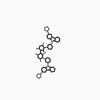 Cc1cc(C)c2c(oc3c(-c4cccc(-n5c6ccccc6c6cc(C7CCCC7)ccc65)c4)c(C)cc(C)c32)c1-c1cccc(-n2c3ccccc3c3cc(C4CCCC4)ccc32)c1